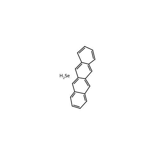 [SeH2].c1ccc2cc3cc4ccccc4cc3cc2c1